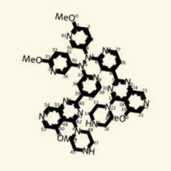 COc1ccc(N(c2cc(-c3nc(N4CCNCC4)c4c(OC)cncc4n3)ccn2)N(c2ccc(OC)nc2)c2cc(-c3nc(N4CCNCC4)c4c(OC)cncc4n3)ccn2)cn1